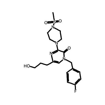 CS(=O)(=O)N1CCN(c2nc(CCCO)cn(Cc3ccc(F)cc3)c2=O)CC1